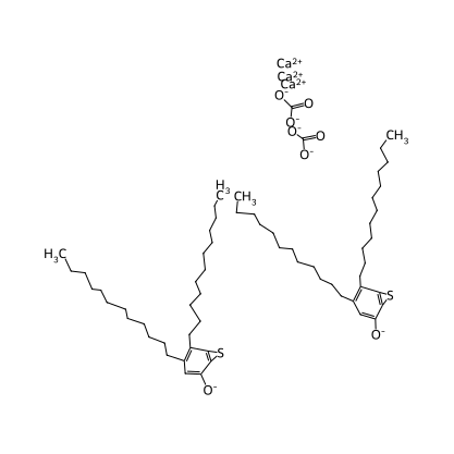 CCCCCCCCCCCCc1cc([O-])c2c(c1CCCCCCCCCCCC)S2.CCCCCCCCCCCCc1cc([O-])c2c(c1CCCCCCCCCCCC)S2.O=C([O-])[O-].O=C([O-])[O-].[Ca+2].[Ca+2].[Ca+2]